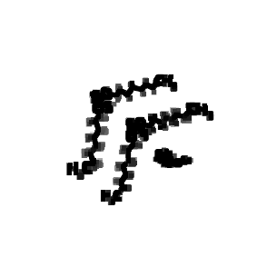 CCCCCCCCOP(=S)([S-])OCCCCCCCC.CCCCCCCCOP(=S)([S-])OCCCCCCCC.[Mo+6].[S-2].[S-2]